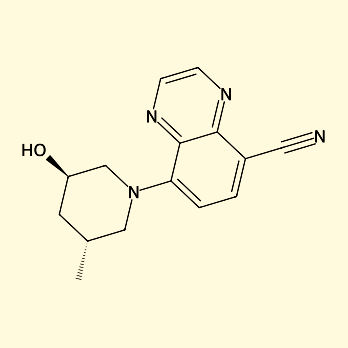 C[C@@H]1C[C@@H](O)CN(c2ccc(C#N)c3nccnc23)C1